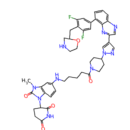 Cn1c(=O)n(C2CCC(=O)NC2=O)c2ccc(NCCCCC(=O)N3CCC(n4cc(-c5cnc6cccc(-c7cc(F)c(CC8CNCCO8)c(F)c7)c6n5)cn4)CC3)cc21